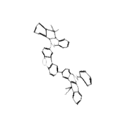 CC1(C)c2ccccc2-c2c1c1cc(-c3ccc4oc5ccc(N6c7ccccc7C7C6c6ccccc6C7(C)C)cc5c4c3)ccc1n2-c1ccccc1